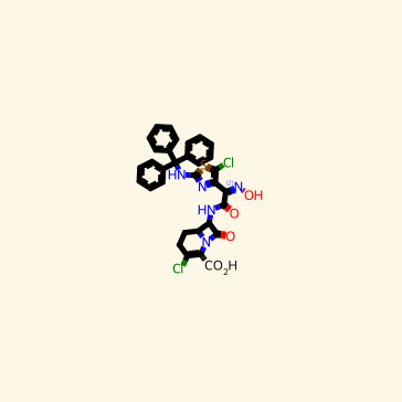 O=C(O)C1=C(Cl)CCC2C(NC(=O)/C(=N\O)c3nc(NC(c4ccccc4)(c4ccccc4)c4ccccc4)sc3Cl)C(=O)N12